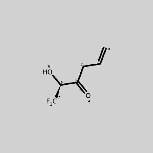 C=CCC(=O)[C@H](O)C(F)(F)F